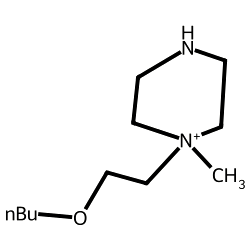 CCCCOCC[N+]1(C)CCNCC1